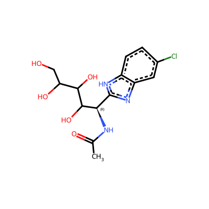 CC(=O)N[C@H](c1nc2cc(Cl)ccc2[nH]1)C(O)C(O)C(O)CO